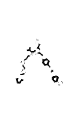 CC(C)[C@H](NC(=O)CCS(=O)(=O)CCS(=O)(=O)CCN1C(=O)C=CC1=O)C(=O)N[C@@H](CCCNN)C(=O)Nc1ccc(COC(=O)Oc2ccc([N+](=O)[O-])cc2)cc1